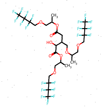 CC(COCC(F)(F)C(F)(F)C(F)(F)F)OCC(CC(=O)OC(C)COCC(F)(F)C(F)(F)C(F)(F)F)C(O)C(=O)OC(C)COCC(F)(F)C(F)(F)C(F)(F)F